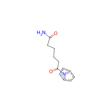 NC(=O)CCCCC(=O)n1c2ccc1cc2